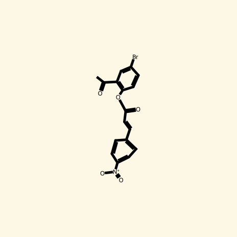 CC(=O)c1cc(Br)ccc1OC(=O)C=Cc1ccc([N+](=O)[O-])cc1